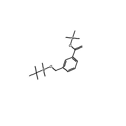 C=C(O[Si](C)(C)C)c1cccc(CO[Si](C)(C)C(C)(C)C)c1